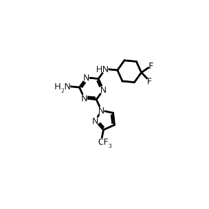 Nc1nc(NC2CCC(F)(F)CC2)nc(-n2ccc(C(F)(F)F)n2)n1